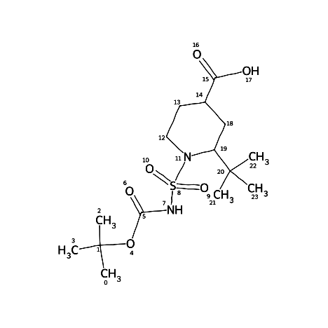 CC(C)(C)OC(=O)NS(=O)(=O)N1CCC(C(=O)O)CC1C(C)(C)C